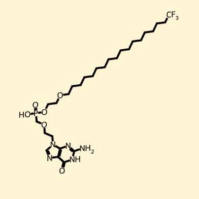 Nc1nc2c(ncn2CCOCP(=O)(O)OCCOCCCCCCCCCCCCCCCCCC(F)(F)F)c(=O)[nH]1